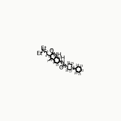 CCN(CC)CCc1c(C)c2ccc(NC(=O)N3CCN(c4ccccc4)CC3)cc2[nH]c1=O